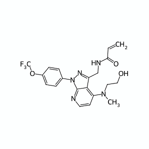 C=CC(=O)NCc1nn(-c2ccc(OC(F)(F)F)cc2)c2nccc(N(C)CCO)c12